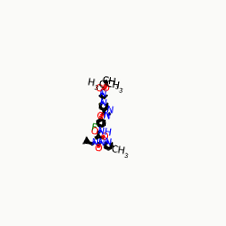 Cc1ccc(-n2c(=O)c(C(=O)Nc3ccc(Oc4ncnc5c4CCN(C4CN(C(=O)OC(C)(C)C)C4)C5)cc3F)cn(CC3CC3)c2=O)nc1